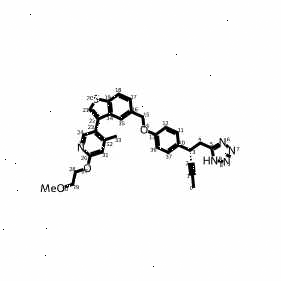 CC#C[C@@H](Cc1nnn[nH]1)c1ccc(OCc2ccc3scc(-c4cnc(OCCOC)cc4C)c3c2)cc1